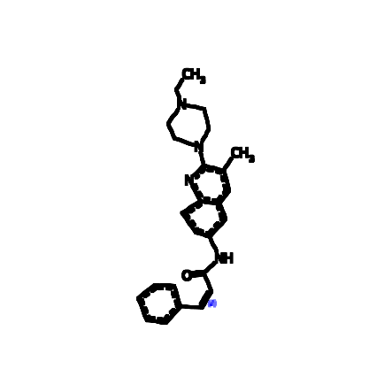 CCN1CCN(c2nc3ccc(NC(=O)/C=C\c4ccccc4)cc3cc2C)CC1